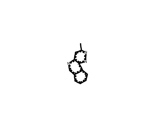 Cc1cc2ncc3ccccc3c2nn1